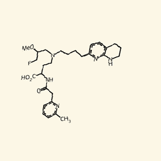 COC(CF)CN(CCCCc1ccc2c(n1)NCCC2)CCC(NC(=O)Cc1cccc(C)n1)C(=O)O